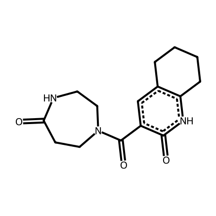 O=C1CCN(C(=O)c2cc3c([nH]c2=O)CCCC3)CCN1